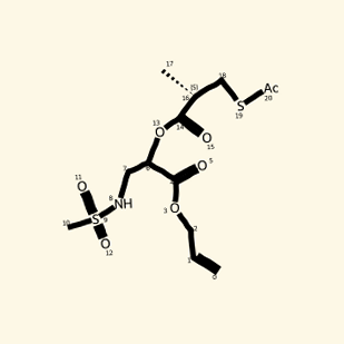 C=CCOC(=O)C(CNS(C)(=O)=O)OC(=O)[C@H](C)CSC(C)=O